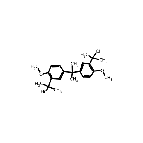 COc1ccc(C(C)(C)c2ccc(OC)c(C(C)(C)O)c2)cc1C(C)(C)O